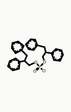 O=P(Cl)(OCC(Cc1ccccc1)c1ccccc1)OCC(Cc1ccccc1)c1ccccc1